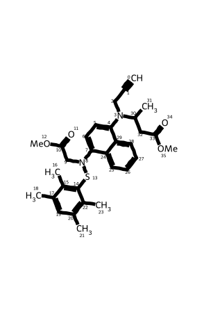 C#CCN(c1ccc(N(CC(=O)OC)Sc2c(C)c(C)cc(C)c2C)c2ccccc12)C(C)CC(=O)OC